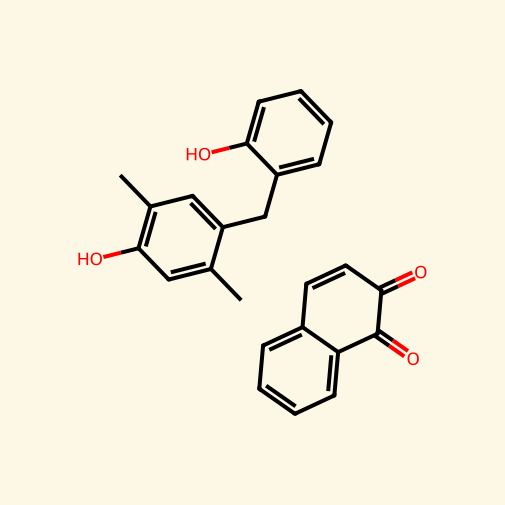 Cc1cc(Cc2ccccc2O)c(C)cc1O.O=C1C=Cc2ccccc2C1=O